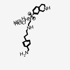 Cl.Cl.Cl.NCc1ccc(CCCNCCNS(=O)(=O)c2ccc3c(c2)CNCC3)cc1